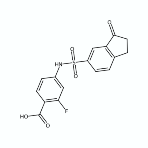 O=C(O)c1ccc(NS(=O)(=O)c2ccc3c(c2)C(=O)CC3)cc1F